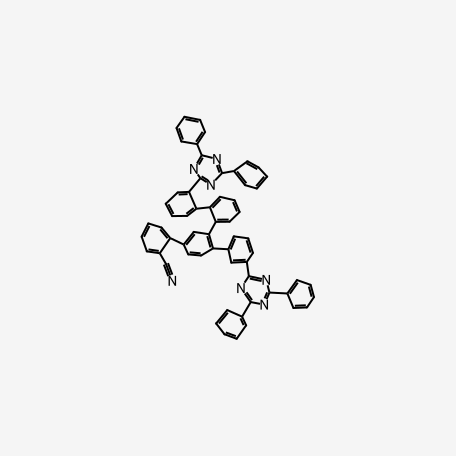 N#Cc1ccccc1-c1ccc(-c2cccc(-c3nc(-c4ccccc4)nc(-c4ccccc4)n3)c2)c(-c2ccccc2-c2ccccc2-c2nc(-c3ccccc3)nc(-c3ccccc3)n2)c1